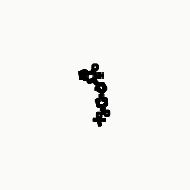 CC(C)(C)OC(=O)N1CCN([C@H]2C=C(c3cn4cccc4c(=O)[nH]3)CC2)CC1